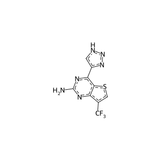 Nc1nc(-c2c[nH]nn2)c2scc(C(F)(F)F)c2n1